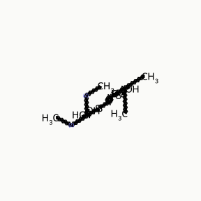 CCCCCCCC/C=C\CCCCCCC(O)CN(CCCCCSSCCCCN1CCN(CCOC(=O)CCCN(CC(O)CCCCCCCCCC)CC(O)CCCCCCCCCC)CC1)CC(O)CCCCCC/C=C\CCCCCCCC